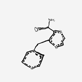 NC(=O)c1nccnc1Cc1ccncc1